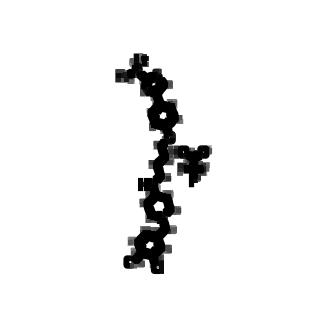 CCN(CC)c1nc(-c2ccc(OCCCCNC3CCN(Cc4ccc(Cl)c(Cl)c4)CC3)cc2)cs1.O=C(O)C(F)(F)F